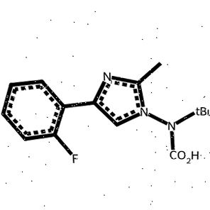 Cc1nc(-c2ccccc2F)cn1N(C(=O)O)C(C)(C)C